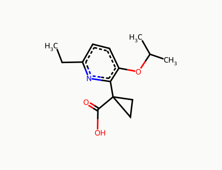 CCc1ccc(OC(C)C)c(C2(C(=O)O)CC2)n1